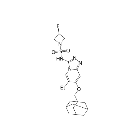 CCc1cn2c(NS(=O)(=O)N3CC(F)C3)nnc2cc1OCC12CC3CC(CC(C3)C1)C2